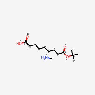 CC(C)(C)OC(=O)CCCCCCCC(=O)O.CN